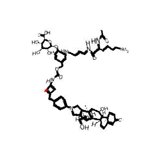 CC(=O)N[C@@H](CCCCN)C(=O)NCCCNc1cc(COC(=O)NC23CC(Cc4ccc(N5C[C@@H]6C[C@H]7[C@@H]8CCC9=CC(=O)C=C[C@]9(C)[C@H]8[C@@H](O)C[C@]7(C)[C@]6(C(=O)CO)C5)cc4)(C2)C3)ccc1O[C@@H]1O[C@H](C(=O)O)[C@@H](O)[C@H](O)[C@H]1O